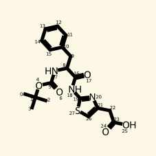 CC(C)(C)OC(=O)NC(Cc1ccccc1)C(=O)Nc1nc(CC(=O)O)cs1